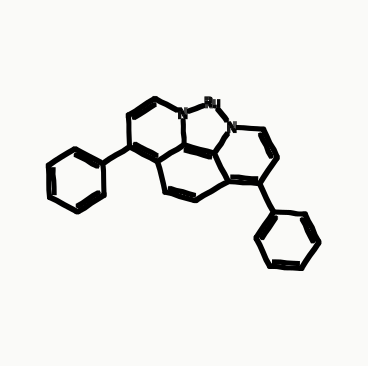 C1=C[N]2[Ru][N]3C=CC(c4ccccc4)=c4ccc(c2c43)=C1c1ccccc1